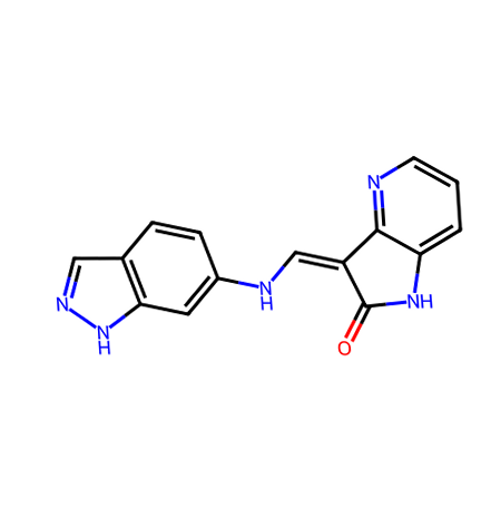 O=C1Nc2cccnc2C1=CNc1ccc2cn[nH]c2c1